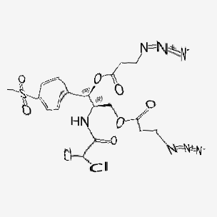 CS(=O)(=O)c1ccc([C@@H](OC(=O)CCN=[N+]=[N-])[C@@H](COC(=O)CCN=[N+]=[N-])NC(=O)C(Cl)Cl)cc1